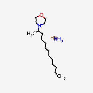 Br.CCCCCCCCCCCC(C)N1CCOCC1.N